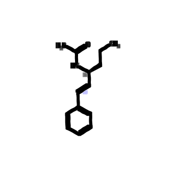 BC(=O)N[C@H](/C=C/c1ccccc1)CCC